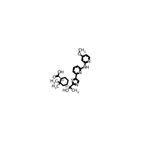 COc1ccnc(Nc2cccc(-c3cnc(C(C)(O)[C@H]4CC[C@H](C(=O)O)C(C)(C)C4)s3)n2)c1